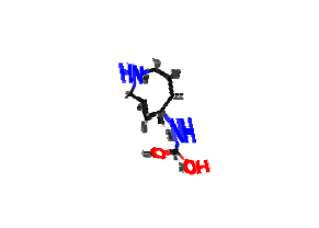 O=C(O)NC1/C=C/CNCCC1